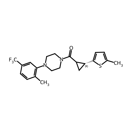 Cc1ccc([C@@H]2CC2C(=O)N2CCN(c3cc(C(F)(F)F)ccc3C)CC2)s1